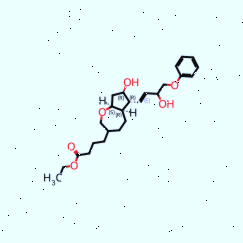 CCOC(=O)CCCC1CC[C@@H]2[C@@H](/C=C/C(O)COc3ccccc3)[C@H](O)C[C@@H]2OC1